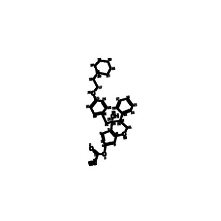 CC(C)(C)C(=O)Oc1ccc2c(c1)OC[C@H](c1ccccc1)[C@]2(O)Cc1ccc(OCCN2CCCCC2)cc1